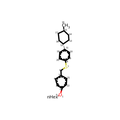 CCCCCCOc1ccc(CSc2ccc([C@H]3CC[C@H](C)CC3)cc2)cc1